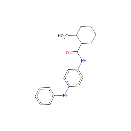 O=C(O)C1CCCCC1C(=O)Nc1ccc(Nc2ccccc2)cc1